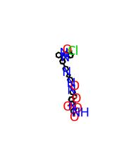 O=C1CC[C@H](N2Cc3c(ccc4c3OCC43CCN(CC(=O)N4CCC5(CC4)CC(N4CCC(c6ccc7c(c6)-n6c(nc(=O)c8c(Cl)cccc86)C76CCCCC6)CC4)C5)CC3)C2=O)C(=O)N1